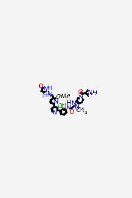 COc1nc(-c2ccnc(-c3cccc(NC(=O)c4nc5c(n4C)CCN(C(=O)C4CNC4)C5)c3Cl)c2Cl)ccc1CNC[C@@H]1CCC(=O)N1